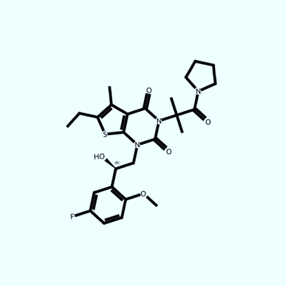 CCc1sc2c(c1C)c(=O)n(C(C)(C)C(=O)N1CCCC1)c(=O)n2C[C@H](O)c1cc(F)ccc1OC